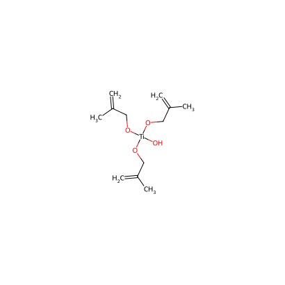 C=C(C)C[O][Ti]([OH])([O]CC(=C)C)[O]CC(=C)C